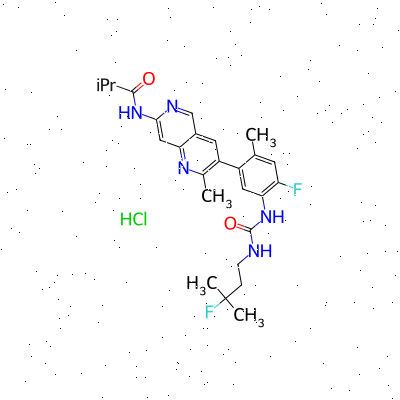 Cc1cc(F)c(NC(=O)NCCC(C)(C)F)cc1-c1cc2cnc(NC(=O)C(C)C)cc2nc1C.Cl